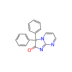 O=C1N=C2N=CC=CN2C1(c1ccccc1)c1ccccc1